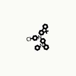 CC1(C)c2ccccc2-c2ccc(N(c3ccc(Cl)cc3)c3ccc4c5ccccc5n(-c5ccccc5)c4c3)cc21